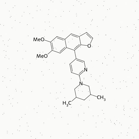 COc1cc2cc3ccoc3c(-c3ccc(N4CC(C)CC(C)C4)nc3)c2cc1OC